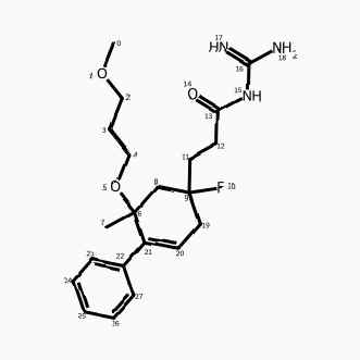 COCCCOC1(C)CC(F)(CCC(=O)NC(=N)N)CC=C1c1ccccc1